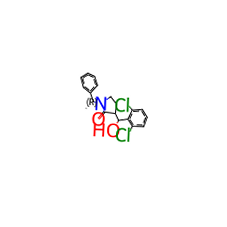 C[C@H](c1ccccc1)N1CCC(C(O)c2c(Cl)cccc2Cl)C1=O